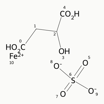 O=C(O)CC(O)C(=O)O.O=S(=O)([O-])[O-].[Fe+2]